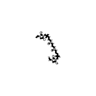 CCN1CC(=O)N(CC(C)(C)CCC[S+]([O-])CCC[S+]([O-])CCCC(C)(C)CN2C(=O)CN(CC)C2=O)C1=O